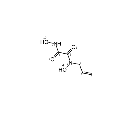 C=CCN(O)C(=O)C(=O)NO